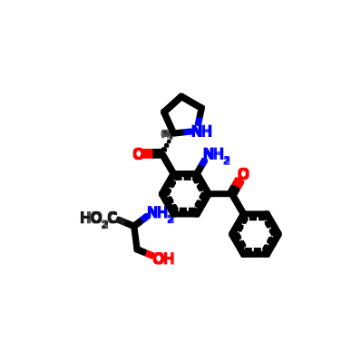 NC(CO)C(=O)O.Nc1c(C(=O)c2ccccc2)cccc1C(=O)[C@@H]1CCCN1